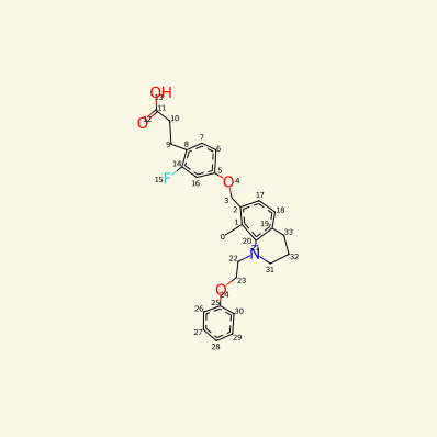 Cc1c(COc2ccc(CCC(=O)O)c(F)c2)ccc2c1N(CCOc1ccccc1)CCC2